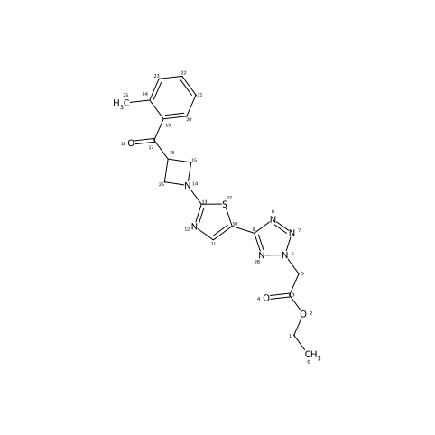 CCOC(=O)Cn1nnc(-c2cnc(N3CC(C(=O)c4ccccc4C)C3)s2)n1